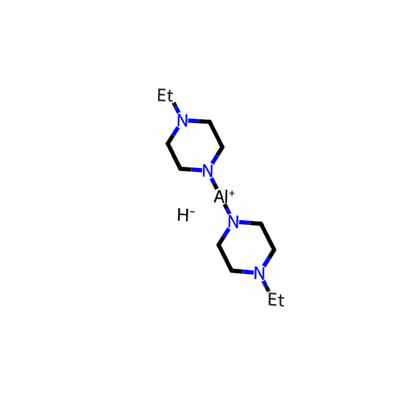 CCN1CC[N]([Al+][N]2CCN(CC)CC2)CC1.[H-]